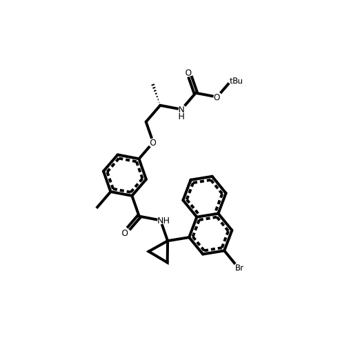 Cc1ccc(OC[C@H](C)NC(=O)OC(C)(C)C)cc1C(=O)NC1(c2cc(Br)cc3ccccc23)CC1